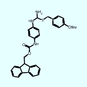 COc1ccc(CSC(N)Nc2ccc(NC(=O)OCC3c4ccccc4-c4ccccc43)cc2)cc1